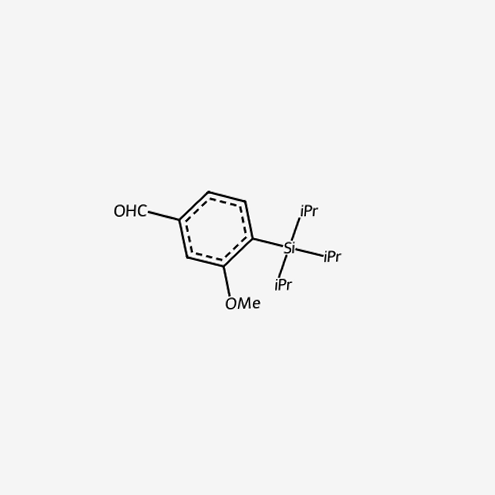 COc1cc(C=O)ccc1[Si](C(C)C)(C(C)C)C(C)C